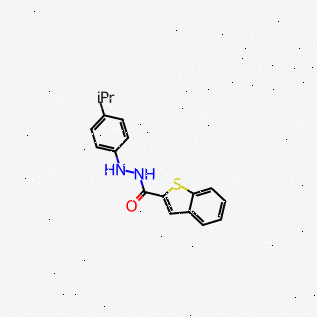 CC(C)c1ccc(NNC(=O)c2cc3ccccc3s2)cc1